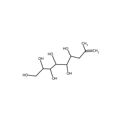 C=C(C)CC(O)C(O)C(O)C(O)C(O)CO